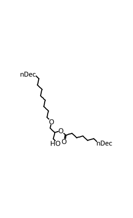 CCCCCCCCCCCCCCCCCCOCC(CO)OC(=O)CCCCCCCCCCCCCCC